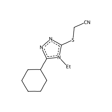 CCn1c(SCC#N)nnc1C1CCCCC1